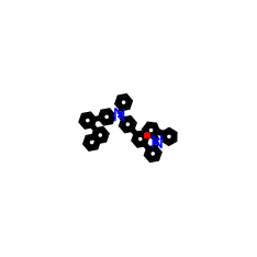 c1ccc(N(c2ccc(-c3ccc(-c4ccccc4-n4c5ccccc5c5ccccc54)cc3)cc2)c2ccc(-c3ccccc3-c3cccc4ccccc34)cc2)cc1